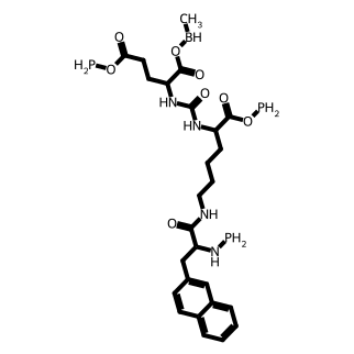 CBOC(=O)C(CCC(=O)OP)NC(=O)NC(CCCCNC(=O)C(Cc1ccc2ccccc2c1)NP)C(=O)OP